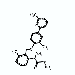 Cc1cccc(-c2ccc(OCc3c(C)cccc3N(N)C(=O)NN)c(C)c2)n1